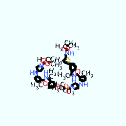 Cc1ccc(NC2CCN(C(=O)OC(C)(C)C)CC2)cc1C(=O)N[C@H](C)c1cccc(-c2ccc(CNC(=O)OC(C)(C)C)s2)c1.Cc1ccc(NC2CCN(C(=O)OC(C)(C)C)CC2)cc1C(=O)N[C@H](C)c1cccc(Br)c1